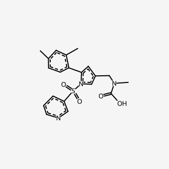 Cc1ccc(-c2cc(CN(C)C(=O)O)cn2S(=O)(=O)c2cccnc2)c(C)c1